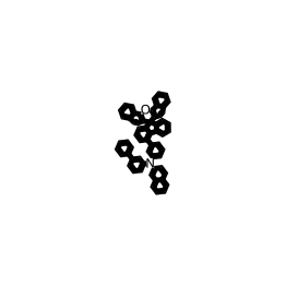 c1ccc(-c2cccc(N(c3cccc(-c4cccc5c4-c4ccccc4C54c5ccc6ccccc6c5Oc5c4ccc4ccccc54)c3)c3ccc4ccccc4c3)c2)cc1